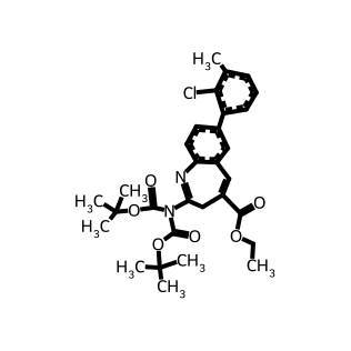 CCOC(=O)C1=Cc2cc(-c3cccc(C)c3Cl)ccc2N=C(N(C(=O)OC(C)(C)C)C(=O)OC(C)(C)C)C1